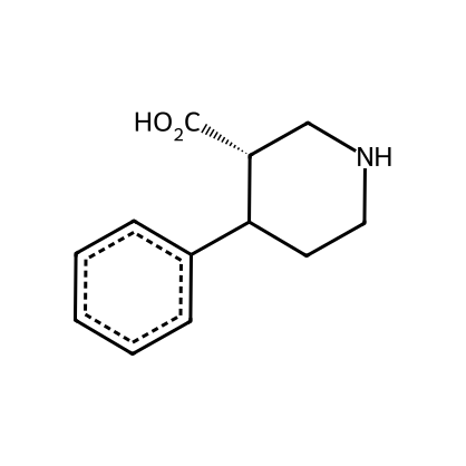 O=C(O)[C@@H]1CNCCC1c1ccccc1